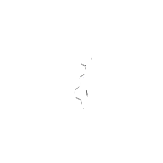 O=COC(=O)/C=C/c1ccc(O)c(O)c1